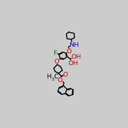 C[C@]1(C(=O)OCc2cccc3ccccc23)CC[C@@H](Oc2cc(C(O)O)c(OCNC3CCCCC3)cc2F)CC1